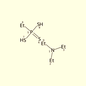 CCN(CC)CC.CCP(=S)(S)S